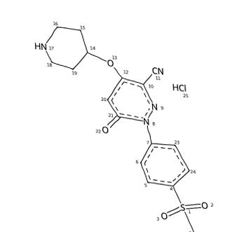 CS(=O)(=O)c1ccc(-n2nc(C#N)c(OC3CCNCC3)cc2=O)cc1.Cl